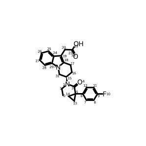 CCN(C(=O)C1(c2ccc(F)cc2)CC1)[C@@H]1CCc2c(CC(=O)O)c3ccccc3n2C1